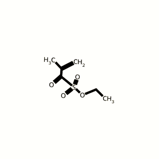 C=C(C)C(=O)S(=O)(=O)OCC